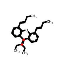 CCC=Cc1cccc(C=CCC)c1Oc1c(C=CCC)cccc1C=CCC